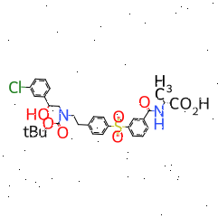 C[C@@H](NC(=O)c1cccc(S(=O)(=O)c2ccc(CCN(C[C@@H](O)c3cccc(Cl)c3)C(=O)OC(C)(C)C)cc2)c1)C(=O)O